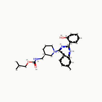 Cc1ccc2c(N3CCC[C@H](CNC(=O)OCC(C)C)C3)nc(-c3ccccc3O)nc2c1